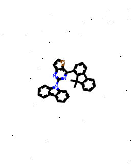 CC1(C)c2ccccc2-c2cccc(-c3nc(-n4c5ccccc5c5ccccc54)nc4ccsc34)c21